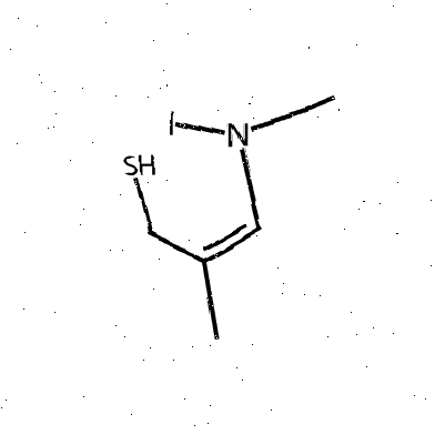 CC(=CN(C)I)CS